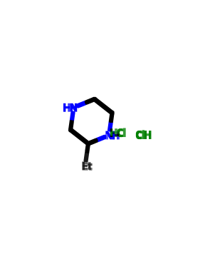 CCC1CNCCN1.Cl.Cl